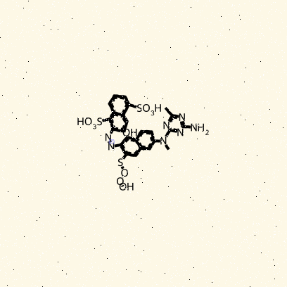 Cc1nc(N)nc(N(C)c2ccc3c(O)c(/N=N\c4ccc5c(S(=O)(=O)O)cccc5c4S(=O)(=O)O)c(SOOO)cc3c2)n1